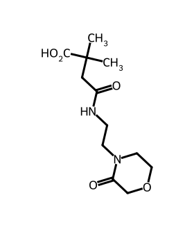 CC(C)(CC(=O)NCCN1CCOCC1=O)C(=O)O